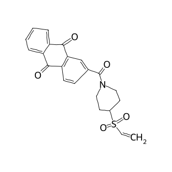 C=CS(=O)(=O)C1CCN(C(=O)c2ccc3c(c2)C(=O)c2ccccc2C3=O)CC1